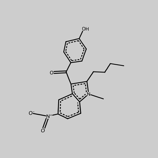 CCCCc1c(C(=O)c2ccc(O)cc2)c2cc([N+](=O)[O-])ccc2n1C